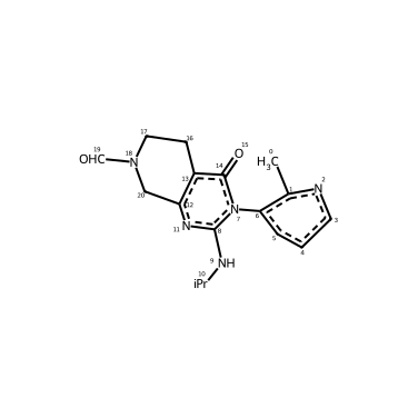 Cc1ncccc1-n1c(NC(C)C)nc2c(c1=O)CCN(C=O)C2